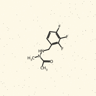 CC(=O)N(C)NCc1ccc(F)c(F)c1F